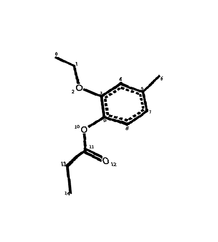 CCOc1cc(C)ccc1OC(=O)CC